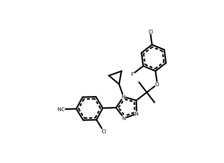 CC(C)(Oc1ccc(Cl)cc1F)c1nnc(-c2ccc(C#N)cc2Cl)n1C1CC1